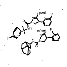 CCCCCC1=NN(C(=O)NC(C)(C)c2ccc(F)cc2)CC1c1cccc(F)c1.CCCCCC1=NN(C(=O)NC2C3CC4CC(C3)CC2C4)CC1c1ccccc1F